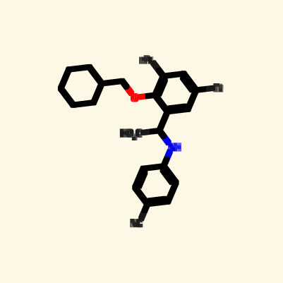 CCCc1cc(CC)cc(C(Nc2ccc(C#N)cc2)C(=O)O)c1OCC1CCCCC1